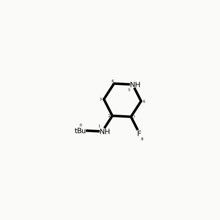 CC(C)(C)NC1CCNCC1F